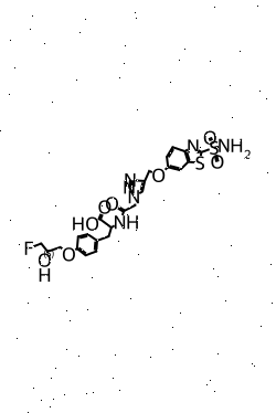 NS(=O)(=O)c1nc2ccc(OCc3cn(CC(=O)NC(Cc4ccc(OC[C@H](O)CF)cc4)C(=O)O)nn3)cc2s1